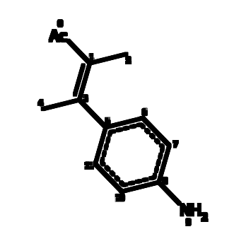 CC(=O)/C(C)=C(\C)c1ccc(N)cc1